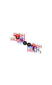 C[C@@H](O)[C@H](NC(=O)c1ccc(-c2ccc(NC(=O)CN[C@H]3C(O)O[C@H](CO)[C@@H](O)[C@@H]3O)cc2)cc1)C(=O)NO